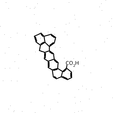 O=C(O)c1cccc2ccc3cc4cc5c(cc4cc3c12)-c1cccc2cccc(c12)C5